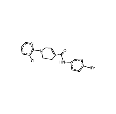 CC(C)c1ccc(NC(=O)C2=CCN(c3ncccc3Cl)CC2)cc1